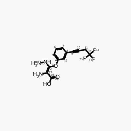 NN/C(Oc1cccc(C#CCC(F)(F)F)c1)=C(\N)C(=O)O